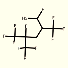 FC(S)C(CC(F)(C(F)(F)F)C(F)(F)F)C(F)(F)F